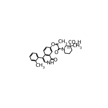 Cc1ccccc1-c1c[nH]c(=O)c2cc(O[C@H](C)C(=O)N3CCC[C@](C)(C(=O)O)C3)ccc12